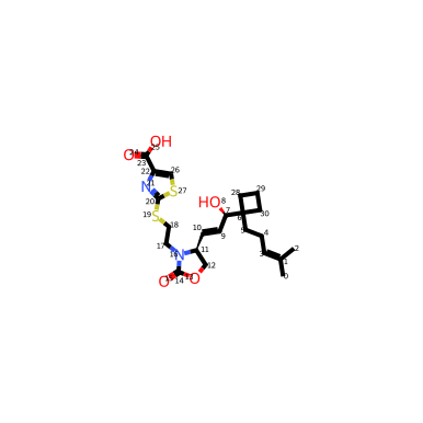 CC(C)=CCCC1([C@H](O)/C=C/[C@H]2COC(=O)N2CCSc2nc(C(=O)O)cs2)CCC1